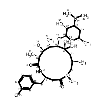 C[C@H]1CN(C)C(=O)C[C@@H](Cc2cccc(Cl)c2)NC(=O)[C@H](C)[C@@H](O)[C@H](C)[C@@H](O[C@@H]2O[C@H](C)C[C@H](N(C)C)[C@H]2O)[C@](C)(O)C1